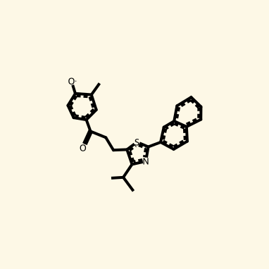 Cc1cc(C(=O)CCc2sc(-c3ccc4ccccc4c3)nc2C(C)C)ccc1[O]